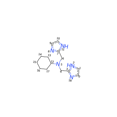 c1c[nH]c(CN(Cc2ncc[nH]2)C2CCCCC2)n1